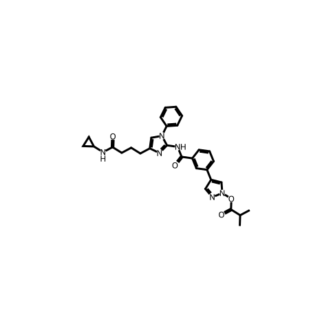 CC(C)C(=O)On1cc(-c2cccc(C(=O)Nc3nc(CCCC(=O)NC4CC4)cn3-c3ccccc3)c2)cn1